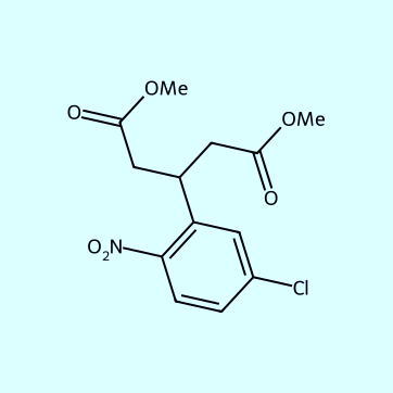 COC(=O)CC(CC(=O)OC)c1cc(Cl)ccc1[N+](=O)[O-]